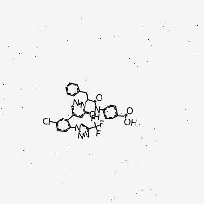 O=C(O)c1ccc(NC(=O)C(Cc2ccccc2)n2ncc(-c3cc(Cl)ccc3-n3cc(C(F)(F)F)nn3)cc2=O)cc1